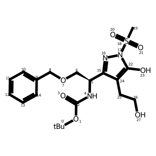 CC(C)(C)OC(=O)N[C@@H](COCc1ccccc1)c1nn(S(C)(=O)=O)c(O)c1CCO